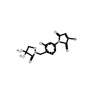 CC1(C)CON(Cc2ccc(N3C(=O)C=C(Br)C3=O)cc2Cl)C1=O